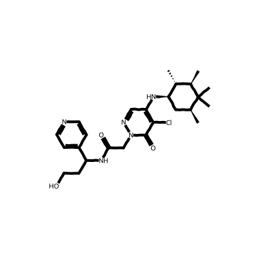 C[C@@H]1[C@@H](C)C(C)(C)[C@@H](C)C[C@H]1Nc1cnn(CC(=O)NC(CCO)c2ccncc2)c(=O)c1Cl